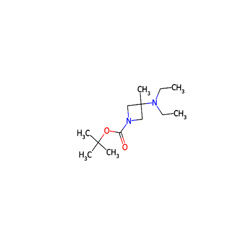 CCN(CC)C1(C)CN(C(=O)OC(C)(C)C)C1